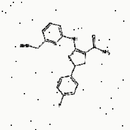 CNCc1cccc(NC2=C(C(N)=O)CC(c3ccc(F)cc3)S2)n1